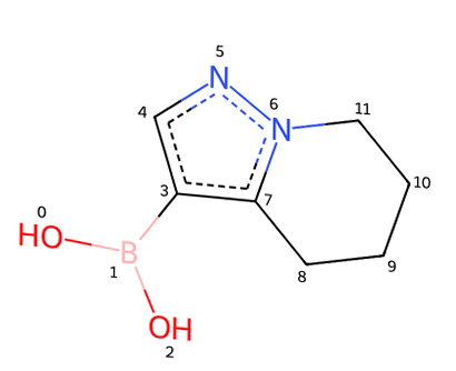 OB(O)c1cnn2c1CCCC2